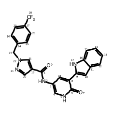 O=C(Nc1c[nH]c(=O)c(-c2cc3ccccc3[nH]2)c1)c1cnn(Cc2ccc(C(F)(F)F)cc2)c1